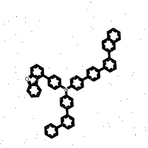 c1ccc(-c2cccc(-c3ccc(N(c4ccc(-c5ccc(-c6cccc(-c7ccc8ccccc8c7)c6)cc5)cc4)c4ccc(-c5cccc6oc7ccccc7c56)cc4)cc3)c2)cc1